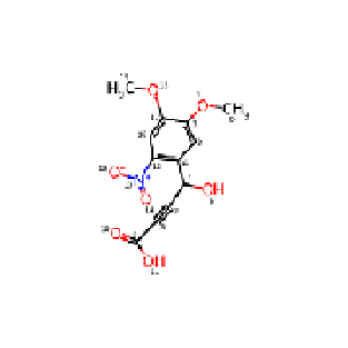 COc1cc(C(O)C#CC(=O)O)c([N+](=O)[O-])cc1OC